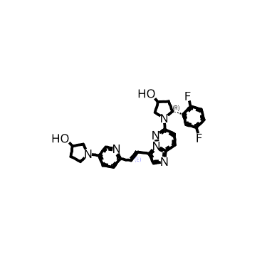 OC1CCN(c2ccc(/C=C/c3cnc4ccc(N5CC(O)C[C@@H]5c5cc(F)ccc5F)nn34)nc2)C1